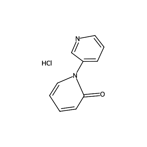 Cl.O=c1ccccn1-c1cccnc1